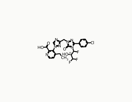 CCc1ccnc(C(=O)O)c1-n1cnc(Cn2nc(-c3ccc(Cl)cc3)n(C(F)[C@H](O)C(F)F)c2=O)n1